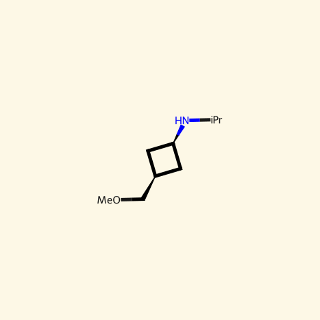 COC[C@H]1C[C@@H](NC(C)C)C1